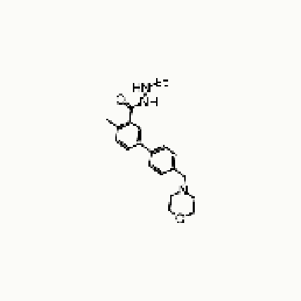 CCNNC(=O)c1cc(-c2ccc(CN3CCOCC3)cc2)ccc1C